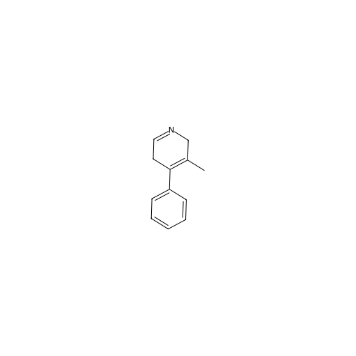 CC1=C(c2ccccc2)CC=NC1